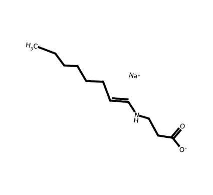 CCCCCCC=CNCCC(=O)[O-].[Na+]